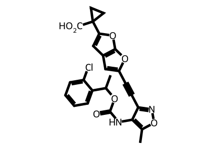 Cc1onc(C#Cc2cc3cc(C4(C(=O)O)CC4)oc3o2)c1NC(=O)OC(C)c1ccccc1Cl